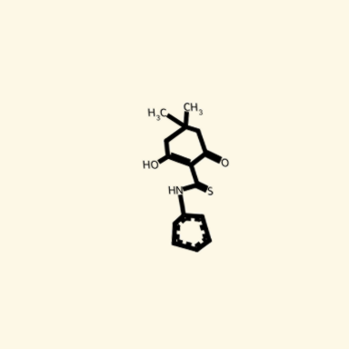 CC1(C)CC(=O)C(C(=S)Nc2ccccc2)=C(O)C1